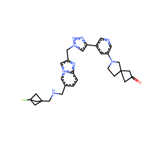 O=C1CC2(CCN(c3cncc(-c4cn(Cc5cn6cc(CNCC78CC(F)(C7)C8)ccc6n5)nn4)c3)C2)C1